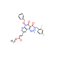 COC(=O)/C=C/c1cnc2c(c1)c(N)c(C(=O)NCc1ccc(F)cc1F)c(=O)n2OCc1ccccc1